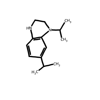 CC(C)c1ccc2c(c1)N(C(C)C)CCN2